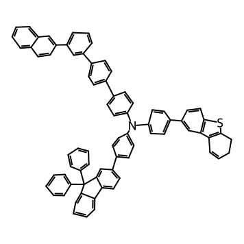 C1=Cc2c(sc3ccc(-c4ccc(N(c5ccc(-c6ccc(-c7cccc(-c8ccc9ccccc9c8)c7)cc6)cc5)c5ccc(-c6ccc7c(c6)C(c6ccccc6)(c6ccccc6)c6ccccc6-7)cc5)cc4)cc23)CC1